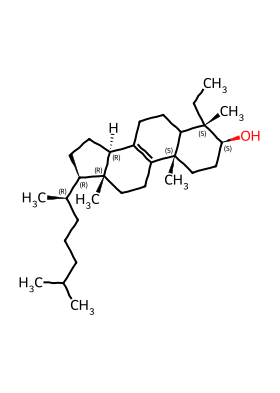 CC[C@@]1(C)C2CCC3=C(CC[C@]4(C)[C@@H]([C@H](C)CCCC(C)C)CC[C@@H]34)[C@@]2(C)CC[C@@H]1O